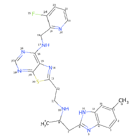 Cc1ccc2nc(CC(C)NCCc3nc4c(NCc5ncccc5F)ncnc4s3)[nH]c2c1